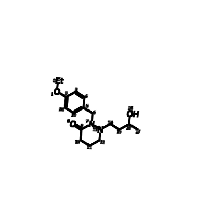 CCOc1ccc(CN2C(=O)CCCN2CCC(C)O)cc1